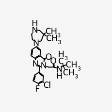 CC1(C)CNCCN(c2ccc3nc(-c4ccc(F)c(Cl)c4)n(CC(=O)NC(C)(C)C)c(=O)c3c2)C1